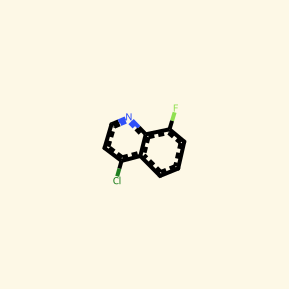 Fc1cccc2c(Cl)ccnc12